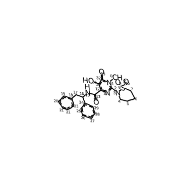 Cn1c(N2CCCCS2(=O)=O)nc(C(=O)NC(Cc2ccccc2)c2ccccc2)c(O)c1=O